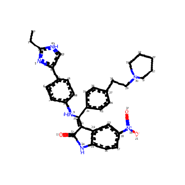 CCc1nc(-c2ccc(N/C(=C3\C(=O)Nc4ccc([N+](=O)[O-])cc43)c3ccc(CCN4CCCCC4)cc3)cc2)c[nH]1